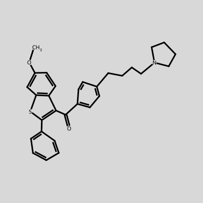 COc1ccc2c(C(=O)c3ccc(CCCCN4CCCC4)cc3)c(-c3ccccc3)sc2c1